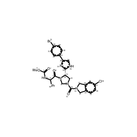 COC(=O)NC(C(=O)N1CN(C(=O)N2Cc3ccc(Cl)cc3C2)C[C@H]1c1nc(-c2ccc(Br)cc2)c[nH]1)C(C)C